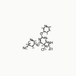 CCc1[nH]c2nc(Oc3cccnc3)nc(Oc3cncc(C#N)c3)c2c1Cl